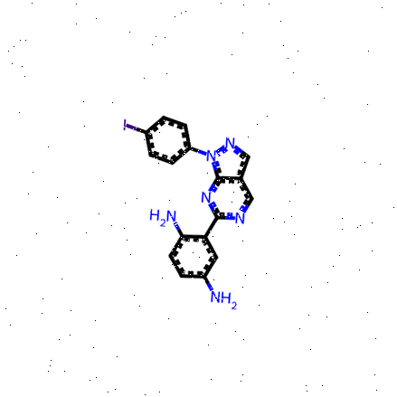 Nc1ccc(N)c(-c2ncc3cnn(-c4ccc(I)cc4)c3n2)c1